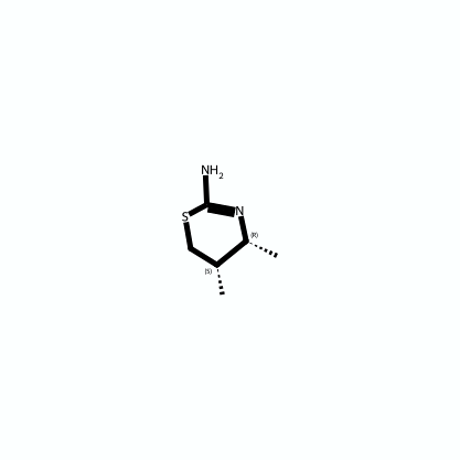 C[C@@H]1CSC(N)=N[C@@H]1C